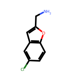 NCc1cc2cc(Cl)ccc2o1